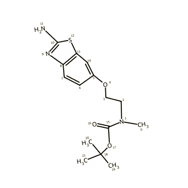 CN(CCOc1ccc2nc(N)sc2c1)C(=O)OC(C)(C)C